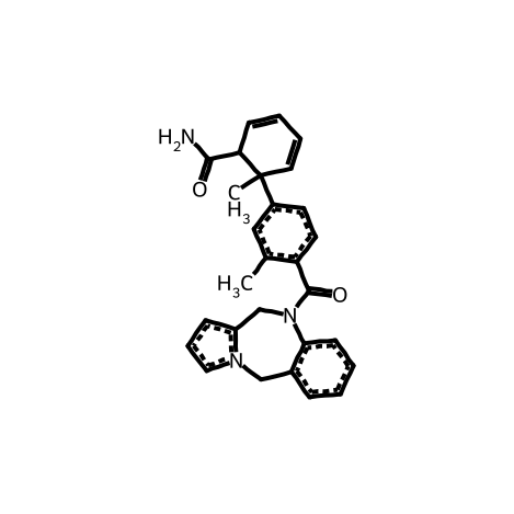 Cc1cc(C2(C)C=CC=CC2C(N)=O)ccc1C(=O)N1Cc2cccn2Cc2ccccc21